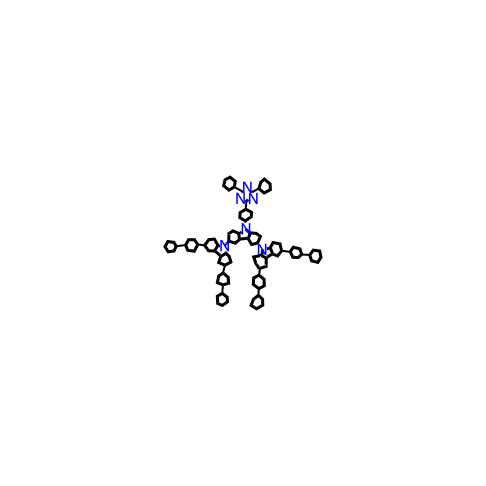 c1ccc(-c2ccc(-c3ccc4c(c3)c3cc(-c5ccc(-c6ccccc6)cc5)ccc3n4-c3ccc4c(c3)c3cc(-n5c6ccc(-c7ccc(-c8ccccc8)cc7)cc6c6cc(-c7ccc(-c8ccccc8)cc7)ccc65)ccc3n4-c3ccc(-c4nc(-c5ccccc5)nc(-c5ccccc5)n4)cc3)cc2)cc1